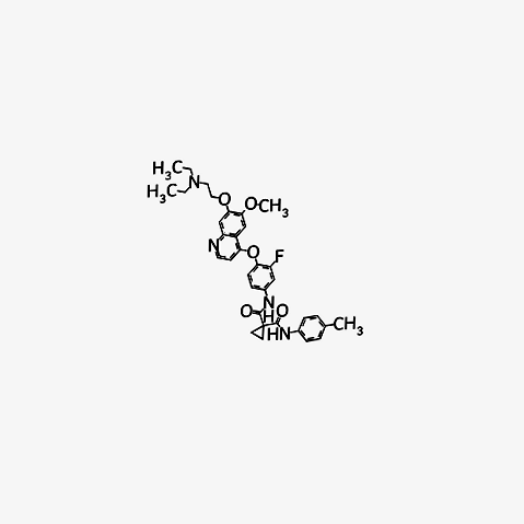 CCN(CC)CCOc1cc2nccc(Oc3ccc(NC(=O)C4(C(=O)Nc5ccc(C)cc5)CC4)cc3F)c2cc1OC